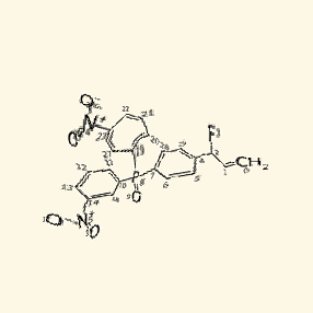 C=CC(F)c1ccc(P(=O)(c2cccc([N+](=O)[O-])c2)c2cccc([N+](=O)[O-])c2)cc1